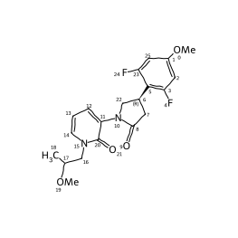 COc1cc(F)c([C@H]2CC(=O)N(c3cccn(CC(C)OC)c3=O)C2)c(F)c1